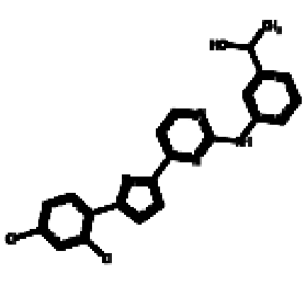 CC(O)c1cccc(Nc2nccc(-c3ccc(-c4ccc(Cl)cc4Cl)s3)n2)c1